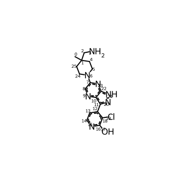 CC1(CN)CCN(c2cnc3c(-c4ccnc(O)c4Cl)n[nH]c3n2)CC1